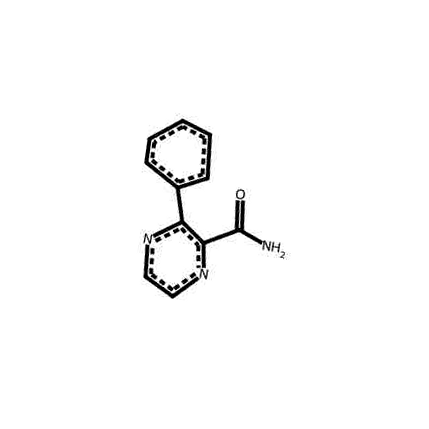 NC(=O)c1nccnc1-c1ccccc1